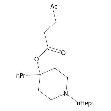 CCCCCCCN1CCC(CCC)(OC(=O)CCC(C)=O)CC1